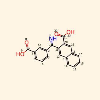 N=C(c1cccc(C(=O)O)c1)c1cc2ccccc2cc1C(=O)O